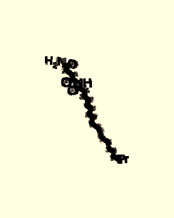 CC(C)CCCCCCCCCCCCCCC(=O)NC(=O)CCC(N)=O